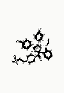 CCOc1ccccc1C1(C(=O)N2CCN(CCS(C)(=O)=O)CC2)N[C@H](c2ccc(Cl)cc2)[C@H](c2ccc(Cl)cc2)N1